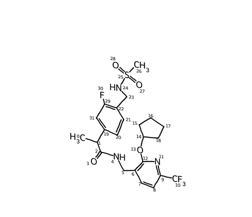 CC(C(=O)NCc1ccc(C(F)(F)F)nc1OC1CCCC1)c1ccc(CNS(C)(=O)=O)c(F)c1